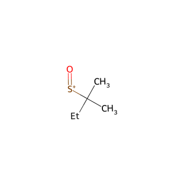 [CH2]CC(C)(C)[S+]=O